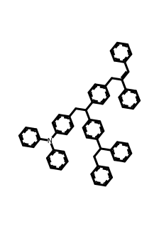 C(=C(/Cc1ccc(C(Cc2ccc(N(c3ccccc3)c3ccccc3)cc2)c2ccc(C(Cc3ccccc3)c3ccccc3)cc2)cc1)c1ccccc1)/c1ccccc1